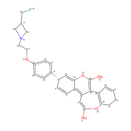 OC1=CC2=C3C=C[C@H](c4ccc(OCCN5CC(CF)C5)cc4)C=C3OC(O)=C2C2=C(CCC=C2)O1